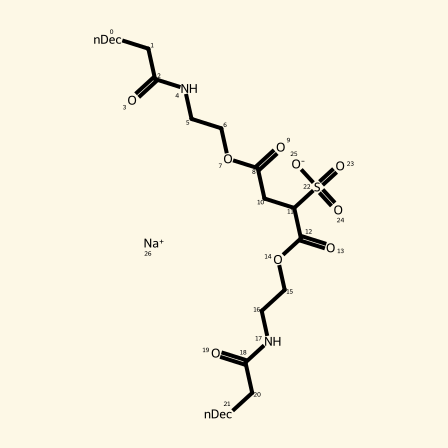 CCCCCCCCCCCC(=O)NCCOC(=O)CC(C(=O)OCCNC(=O)CCCCCCCCCCC)S(=O)(=O)[O-].[Na+]